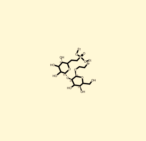 CCOP(=O)(CCC1O[C@H](O[C@@H]2C(O)[C@H](O)C(CO)O[C@@H]2OCCBr)C(O)C(O)[C@@H]1O)OCC